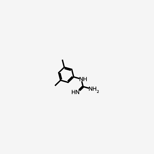 Cc1cc(C)cc(NC(=N)N)c1